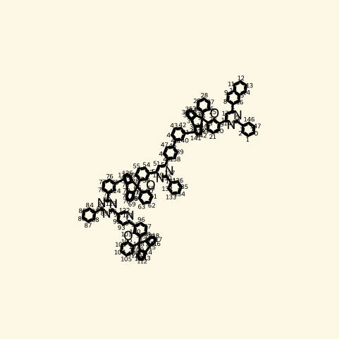 c1ccc(-c2nc(-c3ccc4ccccc4c3)cc(-c3cccc4c3Oc3ccccc3C43c4ccccc4-c4c(-c5cccc(-c6ccc(-c7cc(-c8cccc9c8Oc8ccccc8C98c9ccccc9-c9c(-c%10cccc(-c%11nc(-c%12ccccc%12)nc(-c%12ccc(-c%13cccc%14c%13Oc%13ccccc%13C%14%13c%14ccccc%14-c%14ccccc%14%13)nc%12)n%11)c%10)cccc98)nc(-c8ccccc8)n7)cc6)c5)cccc43)n2)cc1